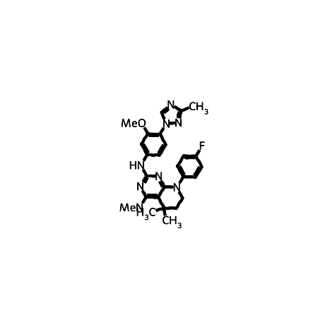 CNc1nc(Nc2ccc(-n3cnc(C)n3)c(OC)c2)nc2c1C(C)(C)CCN2c1ccc(F)cc1